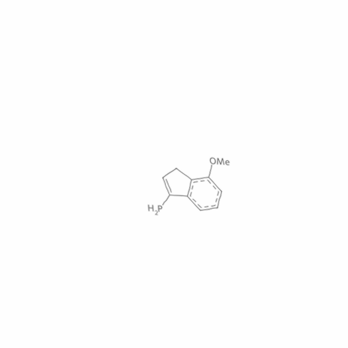 COc1cccc2c1CC=C2P